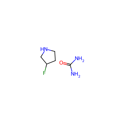 FC1CCNC1.NC(N)=O